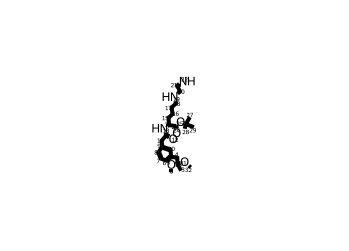 COC(C)(Cc1cccc(CC(=O)NC(CCCCNCC=N)C(=O)OC(C)(C)C)c1)OC